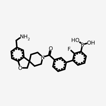 NCc1ccc2c(c1)C1(CCN(C(=O)c3cccc(-c4cccc(B(O)O)c4F)c3)CC1)CO2